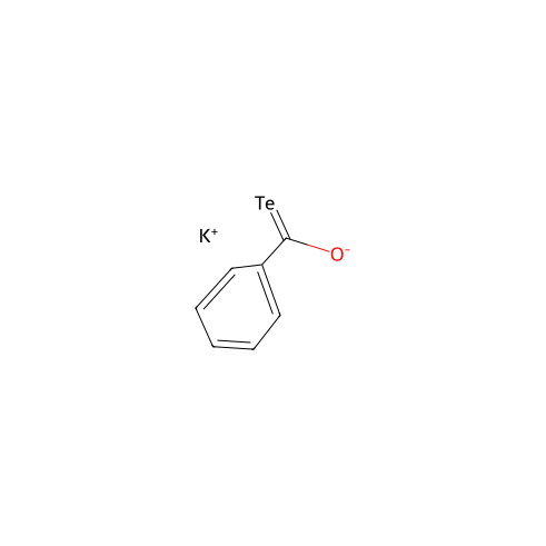 [K+].[O-]C(=[Te])c1ccccc1